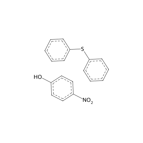 O=[N+]([O-])c1ccc(O)cc1.c1ccc(Sc2ccccc2)cc1